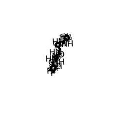 N=C(Nc1cccc(CNC(=O)c2cc(NC(=O)c3cc(F)c(F)cc3Cl)[nH]n2)c1)c1ccccc1F